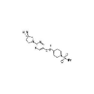 CC(C)S(=O)(=O)N1CCC([C@H](C)Oc2cnc(N3CC[C@@H](N)C3)nc2)CC1